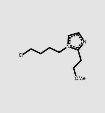 COCCc1nccn1CCCCCl